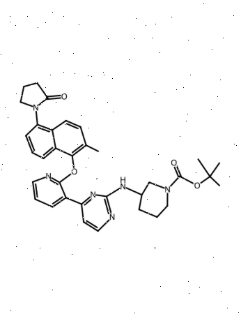 Cc1ccc2c(N3CCCC3=O)cccc2c1Oc1ncccc1-c1ccnc(NC2CCCN(C(=O)OC(C)(C)C)C2)n1